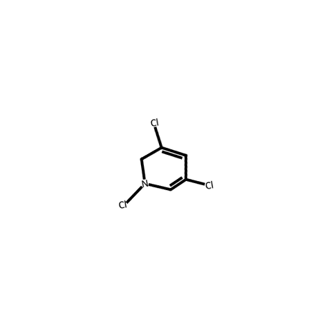 ClC1=CN(Cl)CC(Cl)=C1